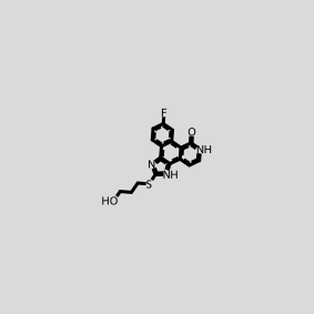 O=c1[nH]ccc2c3[nH]c(SCCCO)nc3c3ccc(F)cc3c12